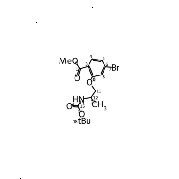 COC(=O)c1ccc(Br)cc1OCC(C)NC(=O)OC(C)(C)C